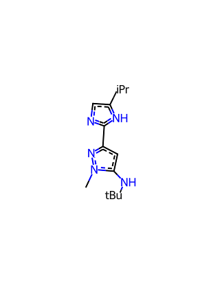 CC(C)c1cnc(-c2cc(NC(C)(C)C)n(C)n2)[nH]1